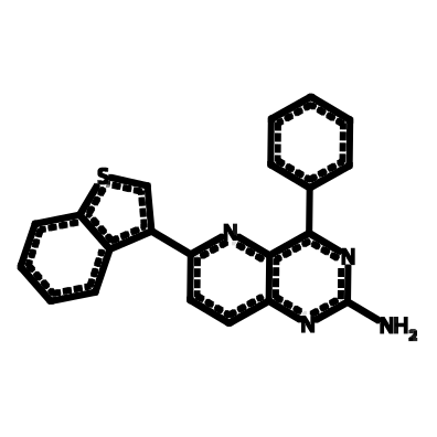 Nc1nc(-c2ccccc2)c2nc(-c3csc4ccccc34)ccc2n1